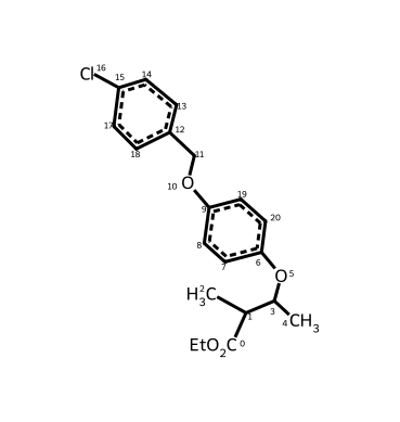 CCOC(=O)C(C)C(C)Oc1ccc(OCc2ccc(Cl)cc2)cc1